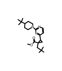 COC(=O)C1(CC(C)(C)C)CC1c1ccnc(N2CCC(C(C)(C)C)CC2)n1